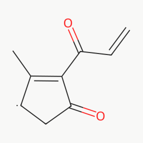 C=CC(=O)C1=C(C)[CH]CC1=O